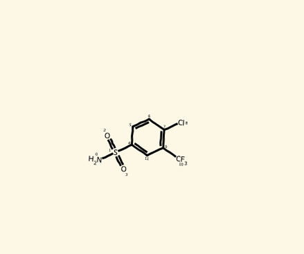 NS(=O)(=O)c1ccc(Cl)c(C(F)(F)F)c1